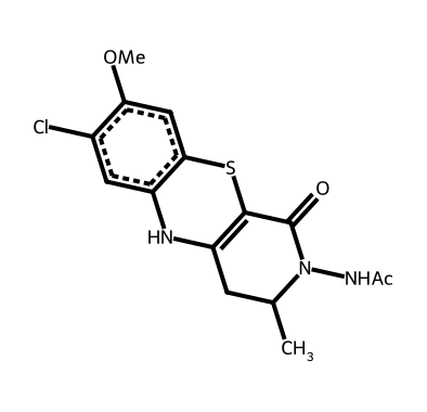 COc1cc2c(cc1Cl)NC1=C(S2)C(=O)N(NC(C)=O)C(C)C1